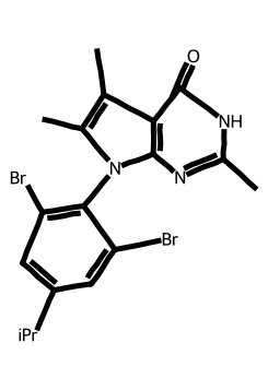 Cc1nc2c(c(C)c(C)n2-c2c(Br)cc(C(C)C)cc2Br)c(=O)[nH]1